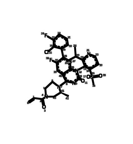 C=CC(=O)N1CCN(c2nc(=O)n(-c3c(S(C)(=O)=O)ccnc3C(C)C)c3nc(-c4cccc(F)c4Cl)c(F)cc23)[C@@H](C)C1